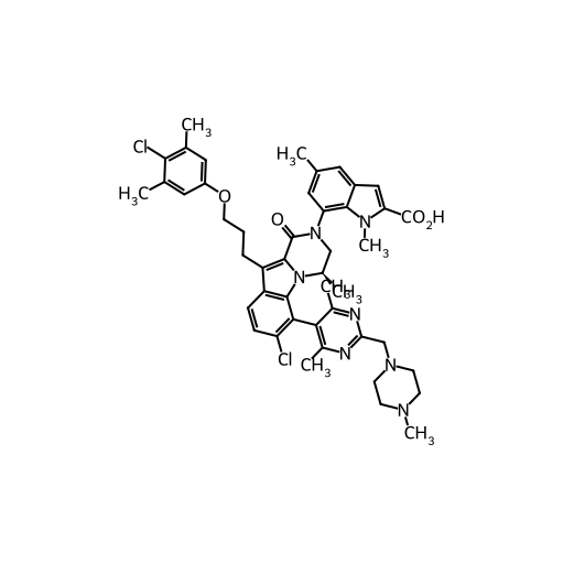 Cc1cc(N2C[C@@H](C)n3c(c(CCCOc4cc(C)c(Cl)c(C)c4)c4ccc(Cl)c(-c5c(C)nc(CN6CCN(C)CC6)nc5C)c43)C2=O)c2c(c1)cc(C(=O)O)n2C